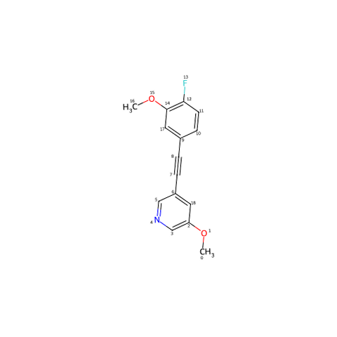 COc1cncc(C#Cc2ccc(F)c(OC)c2)c1